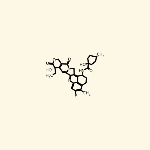 CC[C@@]1(O)C(=O)OCc2c1cc1n(c2=O)Cc2c-1nc1cc(F)c(C)c3c1c2[C@@H](NC(=O)C1(O)CCC(C)CC1)CC3